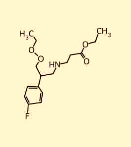 CCOOCC(CNCCC(=O)OCC)c1ccc(F)cc1